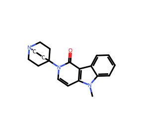 Cn1c2ccccc2c2c(=O)n(C34CCN(CC3)CC4)ccc21